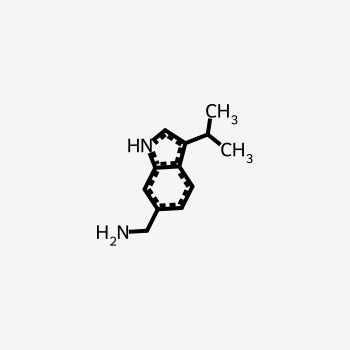 CC(C)c1c[nH]c2cc(CN)ccc12